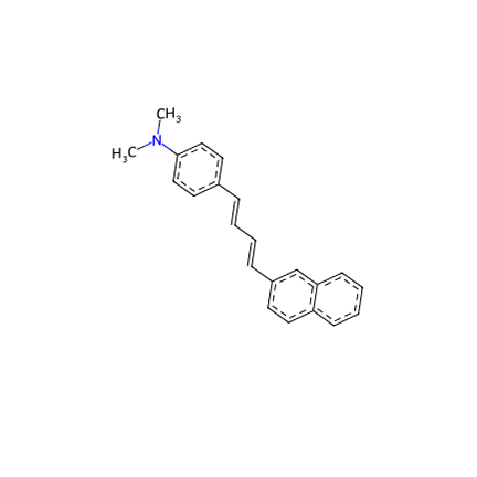 CN(C)c1ccc(C=CC=Cc2ccc3ccccc3c2)cc1